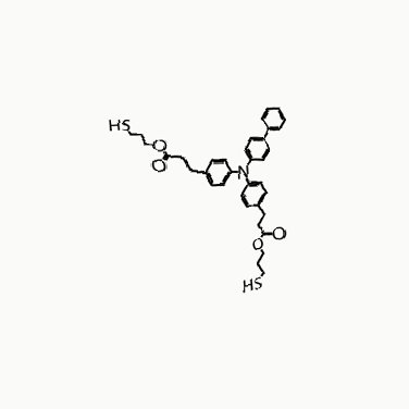 O=C(CCc1ccc(N(c2ccc(CCC(=O)OCCCS)cc2)c2ccc(-c3ccccc3)cc2)cc1)OCCCS